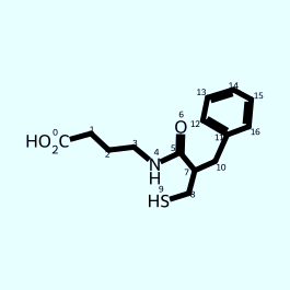 O=C(O)CCCNC(=O)C(CS)Cc1ccccc1